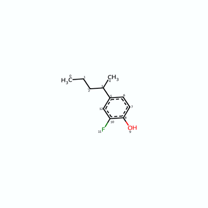 CC[CH]C(C)c1ccc(O)c(F)c1